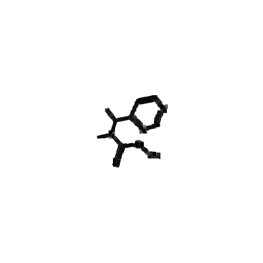 CC(c1ccncn1)N(C)C(=O)OC(C)(C)C